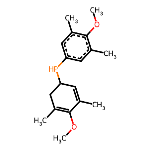 COC1=C(C)CC(Pc2cc(C)c(OC)c(C)c2)C=C1C